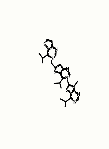 Cc1c(-[n+]2cnc3cc(C[n+]4cnc5ccsc5c4C(C)C)sc3c2C(C)C)sc2c(C(C)C)ncnc12